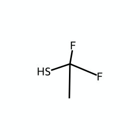 CC(F)(F)S